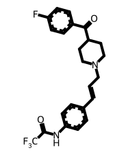 O=C(c1ccc(F)cc1)C1CCN(CC=Cc2ccc(NC(=O)C(F)(F)F)cc2)CC1